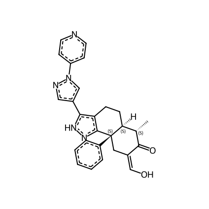 C[C@@H]1C(=O)C(=CO)C[C@]2(c3ccccc3)c3n[nH]c(-c4cnn(-c5ccncc5)c4)c3CC[C@@H]12